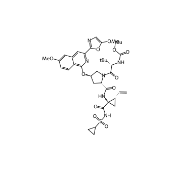 C=C[C@@H]1C[C@]1(NC(=O)[C@@H]1C[C@@H](Oc2nc(-c3ncc(OC)o3)cc3cc(OC)ccc23)CN1C(=O)[C@@H](NC(=O)OC(C)(C)C)C(C)(C)C)C(=O)NS(=O)(=O)C1CC1